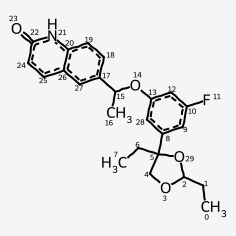 CCC1OCC(CC)(c2cc(F)cc(OC(C)c3ccc4[nH]c(=O)ccc4c3)c2)O1